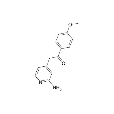 COc1ccc(C(=O)Cc2ccnc(N)c2)cc1